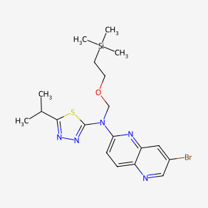 CC(C)c1nnc(N(COCC[Si](C)(C)C)c2ccc3ncc(Br)cc3n2)s1